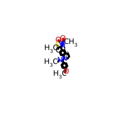 CCN=C(c1ccc(OC)cc1)N1CCCc2cc(C3=NN(C(C)=O)C(=O)SC3(C)C)ccc21